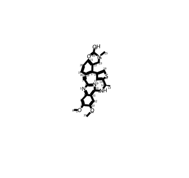 COc1cc2nc(C#N)nc(N[C@H](C)c3cc(-c4ccccc4CN(C)C(=O)O)cs3)c2cc1OC